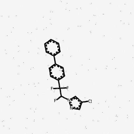 FC(n1cc(Cl)cn1)C(F)(F)c1ccc(-c2ccccc2)cc1